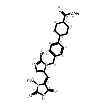 CCCCc1ncc(/C=C2/C(=O)NC(=O)N2CCCC)n1Cc1ccc(C2CCC(C(=O)OC)CC2)cc1